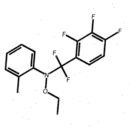 [CH2]c1ccccc1N(OCC)C(F)(F)c1ccc(F)c(F)c1F